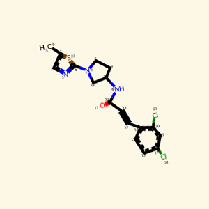 Cc1cnc(N2CCC(NC(=O)C#Cc3ccc(Cl)cc3Cl)C2)s1